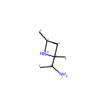 CC1CC(C)(C(C)N)N1